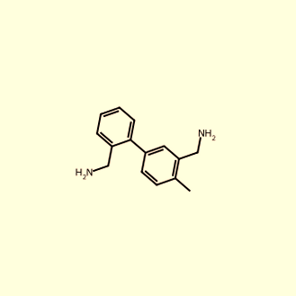 Cc1ccc(-c2ccccc2CN)cc1CN